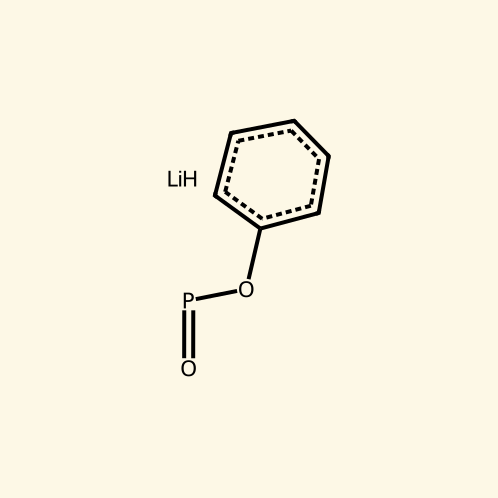 O=POc1ccccc1.[LiH]